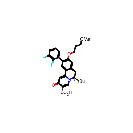 COCCCOc1cc2c(cc1-c1cccc(F)c1F)-c1cc(=O)c(C(=O)O)cn1[C@H](C(C)(C)C)C2